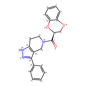 O=C([C@@H]1COc2ccccc2O1)N1CCc2[nH]nc(-c3ccccc3)c2C1